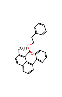 O=C(O)c1ccc2cccc(-c3ccccc3)c2c1C(=O)OCCc1ccccc1